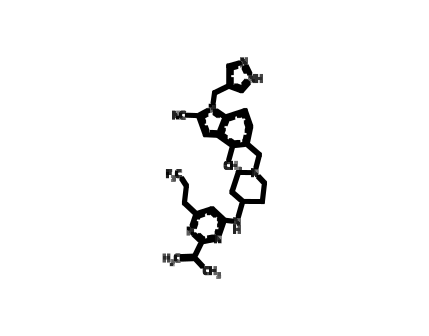 C=C(C)c1nc(CCC(F)(F)F)cc(NC2CCN(Cc3ccc4c(cc(C#N)n4Cc4cn[nH]c4)c3C)CC2)n1